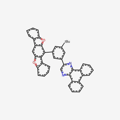 CC(C)(C)c1cc(-c2cnc3c4ccccc4c4ccccc4c3n2)cc(-c2c3oc4ccccc4c3cc3oc4ccccc4c23)c1